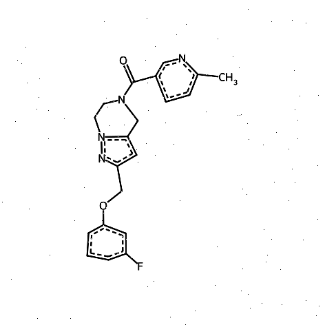 Cc1ccc(C(=O)N2CCn3nc(COc4cccc(F)c4)cc3C2)cn1